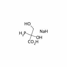 O=C(O)C(O)(P)CO.[NaH]